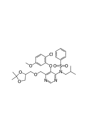 COc1ccc(Cl)c(Oc2c(COCC3COC(C)(C)O3)ncnc2N(CC(C)C)S(=O)(=O)c2ccccc2)c1